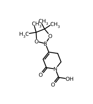 CC1(C)OB(C2=CC(=O)N(C(=O)O)CC2)OC1(C)C